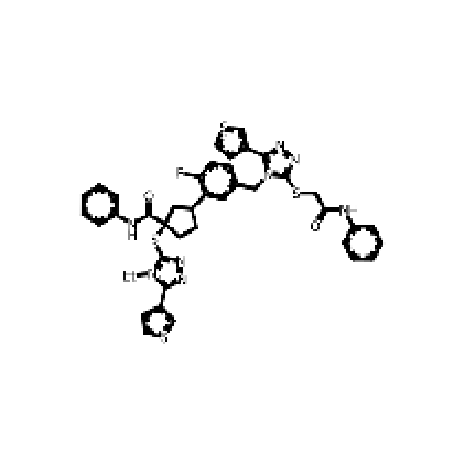 CCn1c(SC2(C(=O)Nc3ccccc3)CCC(c3cc(Cn4c(SCC(=O)Nc5ccccc5)nnc4-c4ccsc4)ccc3F)C2)nnc1-c1ccsc1